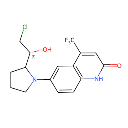 O=c1cc(C(F)(F)F)c2cc(N3CCCC3[C@@H](O)CCl)ccc2[nH]1